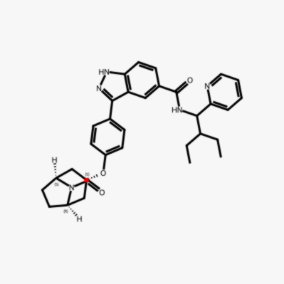 CCC(CC)C(NC(=O)c1ccc2[nH]nc(-c3ccc(O[C@@H]4C[C@H]5CC[C@@H](C4)N5C=O)cc3)c2c1)c1ccccn1